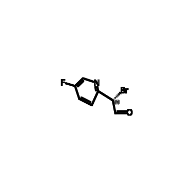 O=C[C@@H](Br)c1ccc(F)cn1